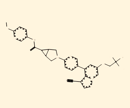 COc1ccc(NC(=O)C2[C@H]3CN(c4ccc(-c5cc(OCC(C)(C)O)cn6ncc(C#N)c56)cn4)C[C@@H]23)cn1